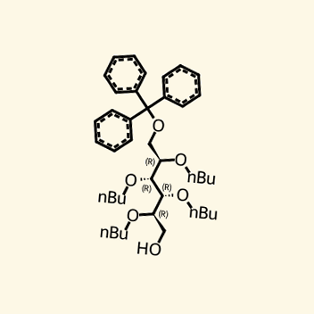 CCCCO[C@@H]([C@H](OCCCC)[C@@H](COC(c1ccccc1)(c1ccccc1)c1ccccc1)OCCCC)[C@@H](CO)OCCCC